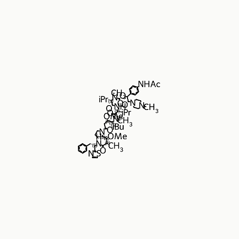 CC[C@H](C)[C@@H]([C@@H](CC(=O)N1CCC[C@H]1[C@H](OC)[C@@H](C)C(=O)N[C@@H](Cc1ccccc1)c1nccs1)OC)N(C)C(=O)[C@@H](NC(=O)[C@H](C(C)C)N(C)C(=O)OC(C(=O)N1CCN(C)CC1)c1ccc(NC(C)=O)cc1)C(C)C